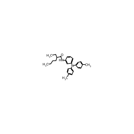 CCCCC(CC)C(=O)Nc1cccc(N(c2ccc(C)cc2)c2ccc(C)cc2)c1